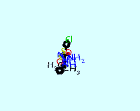 CC(C)(NC(=O)Nc1snc(SCc2ccc(Cl)cc2)c1C(N)=O)c1ccccc1